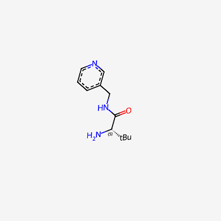 CC(C)(C)[C@H](N)C(=O)NCc1cccnc1